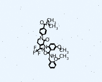 CCOc1ccccc1CNC(=O)c1cc(OC)ccc1-n1nc(C(F)(F)F)c2c1C(=O)N(c1ccc(C(=O)N(C)C)cc1)CC2